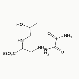 CCOC(=O)C(CN)NCC(C)O.NC(=O)C(N)=O